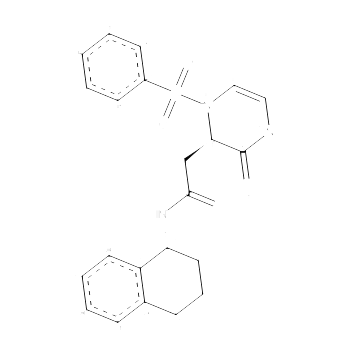 O=C(C[C@@H]1C(=O)NC=CN1S(=O)(=O)c1ccccc1)N[C@@H]1CCCc2ccccc21